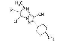 Cc1nc2c(C#N)c([C@H]3CC[C@H](C(F)(F)F)CC3)nn2c(Cl)c1C(C)C